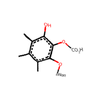 CCCCCCCCCOc1c(C)c(C)c(C)c(O)c1OC(=O)O